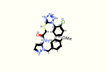 COc1ccc(Cn2nccc2NC(=O)CSc2nnnn2-c2ccccc2Cl)cc1